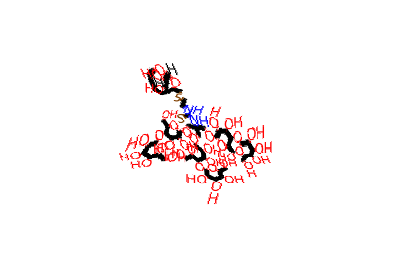 OCC1O[C@@H](OCC(CO[C@@H]2OC(CO)[C@@H](O[C@@H]3OC(CO)[C@H](O)[C@H](O)C3O)[C@H](O)C2O)(CO[C@@H]2OC(CO)[C@@H](O[C@@H]3OC(CO)[C@H](O)[C@H](O)C3O)[C@H](O)C2O)NC(=S)NCCSCC2O[C@@H]3OCCCCCC2[C@H](O)C3O)C(O)[C@@H](O)[C@@H]1O[C@@H]1OC(CO)[C@H](O)[C@H](O)C1O